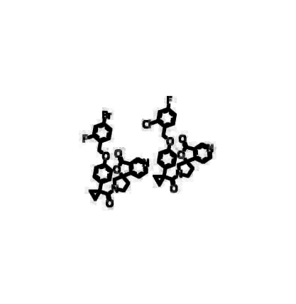 O=C1OC2(CCN(C(=O)C3(c4ccc(OCc5ccc(Br)cc5F)cc4)CC3)C2)c2ccncc21.O=C1OC2(CCN(C(=O)C3(c4ccc(OCc5ccc(F)cc5Cl)cc4)CC3)C2)c2ccncc21